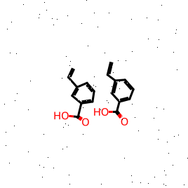 C=Cc1cccc(C(=O)O)c1.C=Cc1cccc(C(=O)O)c1